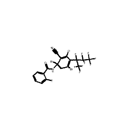 N#CC1=C(Cl)C(C(F)(C(F)(F)F)C(F)(F)C(F)(F)F)=C(Br)CC1(Br)NC(=O)c1ccccc1F